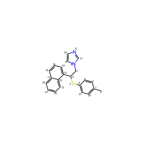 Cc1ccc(SC(Cn2ccnc2)c2cccc3ccccc23)cc1